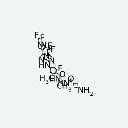 Cc1cc(Nc2nccn3c(-c4cn(CC(F)F)nc4C(F)(F)F)cnc23)cc(F)c1C(=O)N[C@H](C)CNC(=O)[C@H]1C[C@@H](N)C1